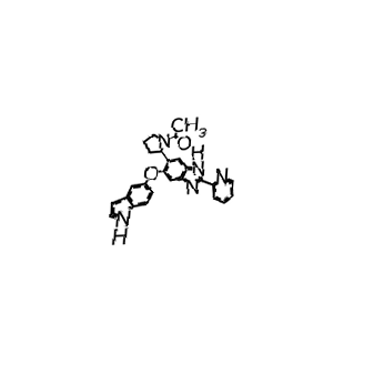 CC(=O)N1CCCC1c1cc2[nH]c(-c3ccccn3)nc2cc1Oc1ccc2[nH]ccc2c1